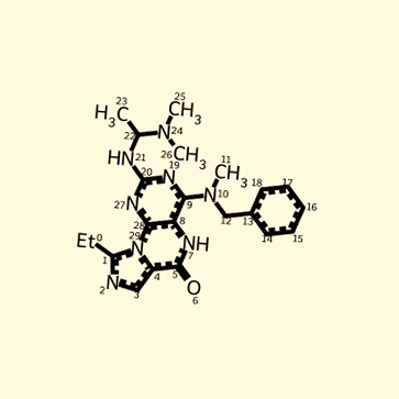 CCc1ncc2c(=O)[nH]c3c(N(C)Cc4ccccc4)nc(NC(C)N(C)C)nc3n12